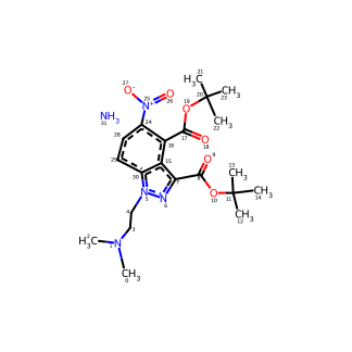 CN(C)CCn1nc(C(=O)OC(C)(C)C)c2c(C(=O)OC(C)(C)C)c([N+](=O)[O-])ccc21.N